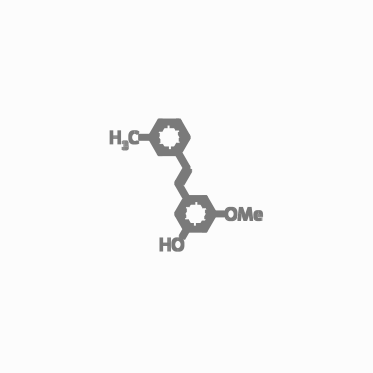 COc1cc(O)cc(/C=C/c2cccc(C)c2)c1